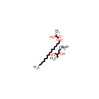 CCCC(O)C(CC)CO.CCCCCCCCCCCCCCCCCC(=O)OC(=O)C(C)O.[NaH]